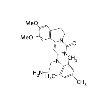 COc1cc2c(cc1OC)-c1cc(N(CCN)c3c(C)cc(C)cc3C)nc(=O)n1CC2